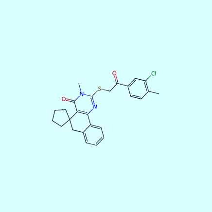 Cc1ccc(C(=O)CSc2nc3c(c(=O)n2C)C2(CCCC2)Cc2ccccc2-3)cc1Cl